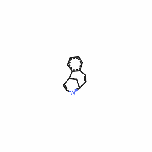 C1=CC2CC(=N1)C=Cc1ccccc12